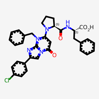 O=C(O)[C@H](Cc1ccccc1)NC(=O)[C@@H]1CCCN1c1cc(=O)n2cc(-c3ccc(Cl)cc3)nc2n1Cc1ccccc1